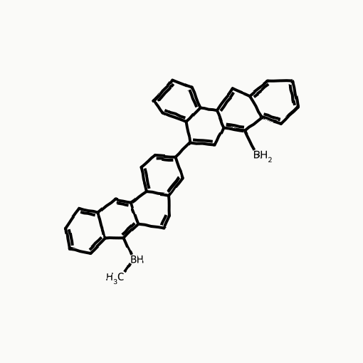 Bc1c2ccccc2cc2c1cc(-c1ccc3c(ccc4c(BC)c5ccccc5cc43)c1)c1ccccc12